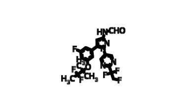 CC(F)(F)C(C)(C)Oc1cc(F)cc(-c2cc(NC=O)nn2-c2cnc(C(F)(F)CF)nc2)c1